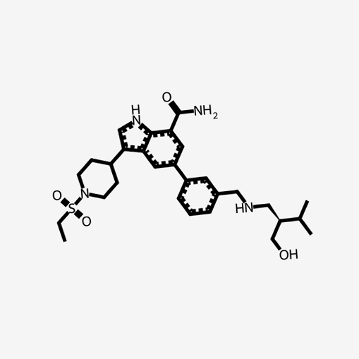 CCS(=O)(=O)N1CCC(c2c[nH]c3c(C(N)=O)cc(-c4cccc(CNC[C@H](CO)C(C)C)c4)cc23)CC1